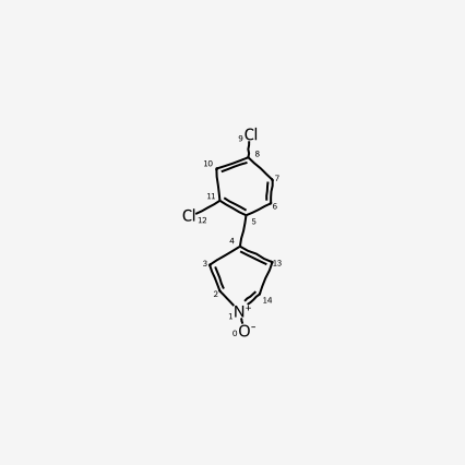 [O-][n+]1ccc(-c2ccc(Cl)cc2Cl)cc1